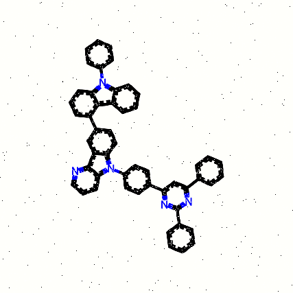 c1ccc(-c2cc(-c3ccc(-n4c5ccc(-c6cccc7c6c6ccccc6n7-c6ccccc6)cc5c5ncccc54)cc3)nc(-c3ccccc3)n2)cc1